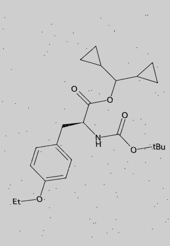 CCOc1ccc(C[C@H](NC(=O)OC(C)(C)C)C(=O)OC(C2CC2)C2CC2)cc1